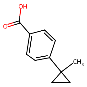 CC1(c2ccc(C(=O)O)cc2)CC1